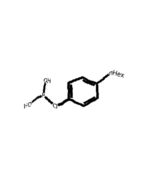 CCCCCCc1ccc(OP(O)O)cc1